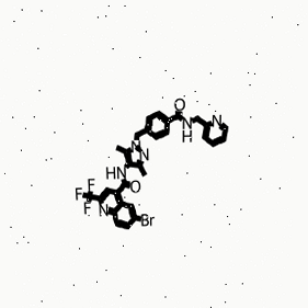 Cc1nn(Cc2ccc(C(=O)NCc3ccccn3)cc2)c(C)c1NC(=O)c1cc(C(F)(F)F)nc2ccc(Br)cc12